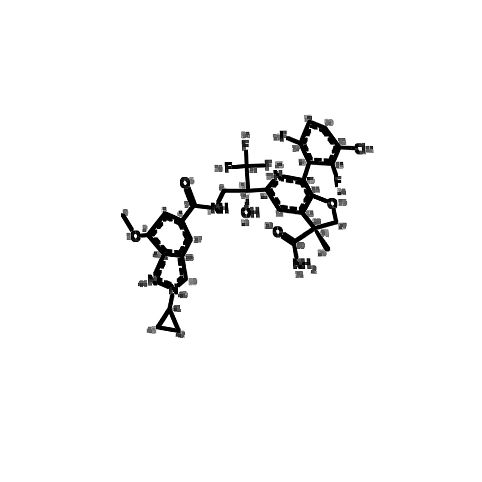 COc1cc(C(=O)NC[C@](O)(c2cc3c(c(-c4c(F)ccc(Cl)c4F)n2)OC[C@]3(C)C(N)=O)C(F)(F)F)cc2cn(C3CC3)nc12